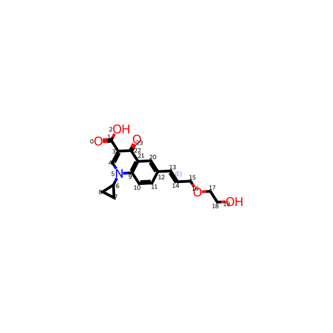 O=C(O)c1cn(C2CC2)c2ccc(/C=C/COCCO)cc2c1=O